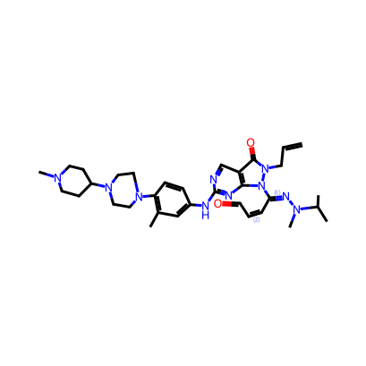 C=CCn1c(=O)c2cnc(Nc3ccc(N4CCN(C5CCN(C)CC5)CC4)c(C)c3)nc2n1C(/C=C\C=O)=N/N(C)C(C)C